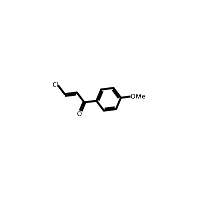 COc1ccc(C(=O)C=CCl)cc1